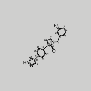 O=c1n(Cc2cccc(F)c2)ccn1-c1ccc(-c2cn[nH]c2)cc1